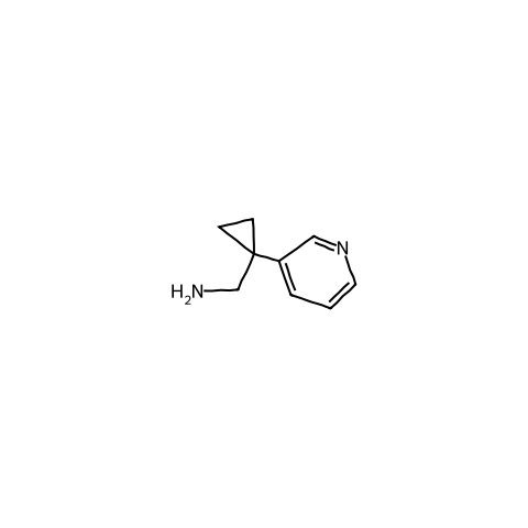 NCC1(c2cccnc2)CC1